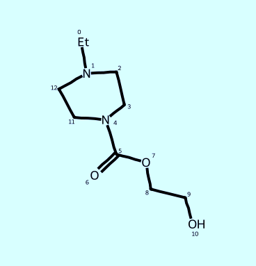 CCN1CCN(C(=O)OCCO)CC1